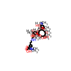 CC[C@H]1OC(=O)[C@H](C)[C@@H](O[C@H]2C[C@@](C)(OC)[C@@H](OS(=O)(=O)CCNCCCc3ccc4c(c3)c(=O)c(C(=O)O)cn4N(C)C)[C@H](C)O2)[C@H](C)[C@@H](O[C@@H]2O[C@H](C)C[C@H](N(C)C)[C@H]2O)[C@](C)(OC)C[C@@H](C)C(=O)[C@H](C)[C@@H](O)[C@]1(C)O